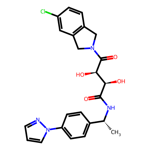 C[C@@H](NC(=O)[C@H](O)[C@@H](O)C(=O)N1Cc2ccc(Cl)cc2C1)c1ccc(-n2cccn2)cc1